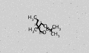 CCCC1(C)COB(C(C)C)OC1